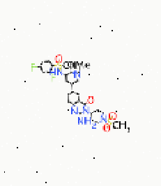 C=S(=O)(Nc1cc(-c2ccc3nc(N)n(C4CCN(S(C)(=O)=O)CC4)c(=O)c3c2)cnc1OC)c1ccc(F)cc1F